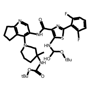 CC1(NC(=O)OC(C)(C)C)CCCN(c2c(NC(=O)c3nc(-c4c(F)cccc4F)sc3NC(O)OC(C)(C)C)cnc3c2CCC3)C1